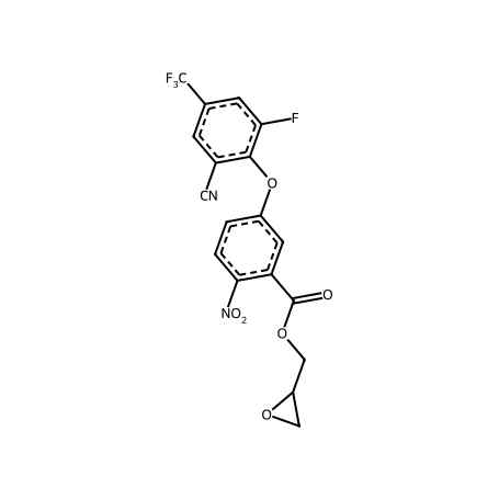 N#Cc1cc(C(F)(F)F)cc(F)c1Oc1ccc([N+](=O)[O-])c(C(=O)OCC2CO2)c1